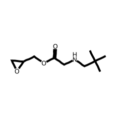 CC(C)(C)CNCC(=O)OCC1CO1